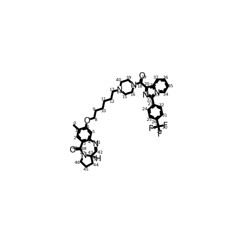 Cc1cc2c(cc1OCCCCCCN1CCN(C(=O)c3nc(-c4ccc(C(F)(F)F)cc4)n4ccccc34)CC1)N=C[C@@H]1CCCN1C2=O